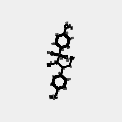 Cc1ccc(C(CBr)N(Br)S(=O)(=O)c2ccc(C)cc2)cc1